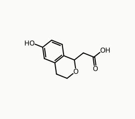 O=C(O)CC1OCCc2cc(O)ccc21